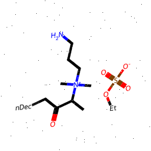 CCCCCCCCCCCC(=O)C(C)[N+](C)(C)CCCN.CCOS(=O)(=O)[O-]